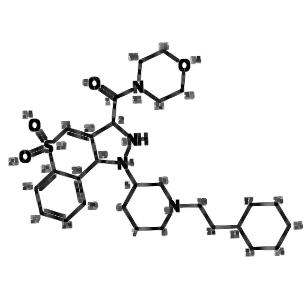 O=C(C1NN(C2CCCN(CCC3CCCCC3)C2)C2C1=CS(=O)(=O)c1ccccc12)N1CCOCC1